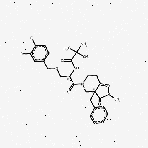 CN1N=C2CCN(C(=O)[C@@H](COCc3ccc(F)c(F)c3)NC(=O)C(C)(C)N)C[C@@]2(Cc2ccccc2)C1=O